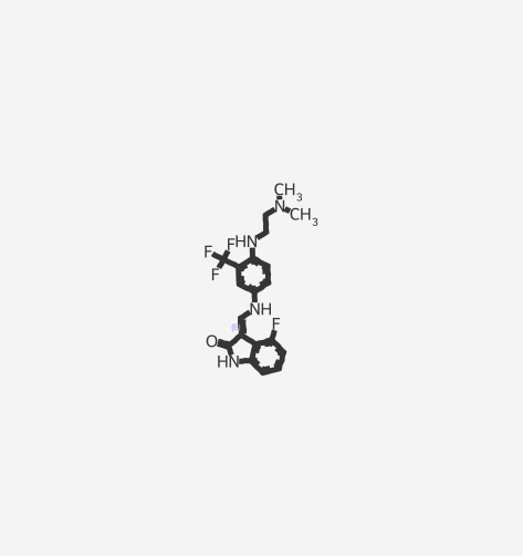 CN(C)CCNc1ccc(N/C=C2/C(=O)Nc3cccc(F)c32)cc1C(F)(F)F